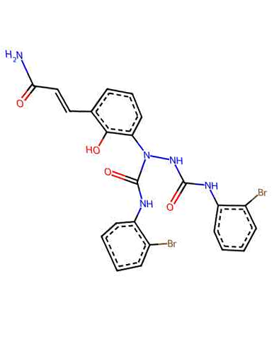 NC(=O)/C=C/c1cccc(N(NC(=O)Nc2ccccc2Br)C(=O)Nc2ccccc2Br)c1O